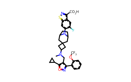 CN(Cc1c(-c2ccccc2OC(F)(F)F)noc1C1CC1)C1CC2(C1)CC1CCC(C2)N1c1cc2snc(C(=O)O)c2cc1F